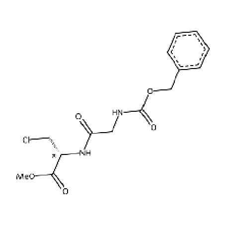 COC(=O)[C@H](CCl)NC(=O)CNC(=O)OCc1ccccc1